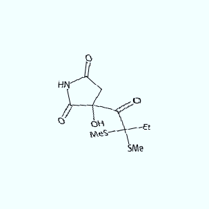 CCC(SC)(SC)C(=O)C1(O)CC(=O)NC1=O